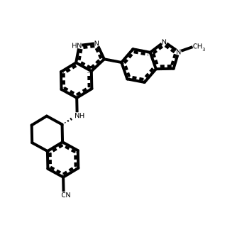 Cn1cc2ccc(-c3n[nH]c4ccc(N[C@H]5CCCc6cc(C#N)ccc65)cc34)cc2n1